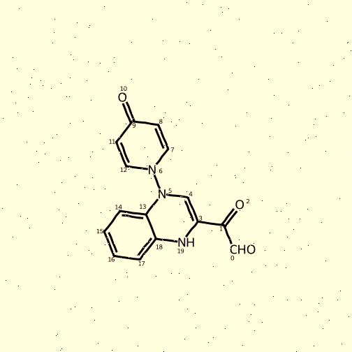 O=CC(=O)C1=CN(n2ccc(=O)cc2)c2ccccc2N1